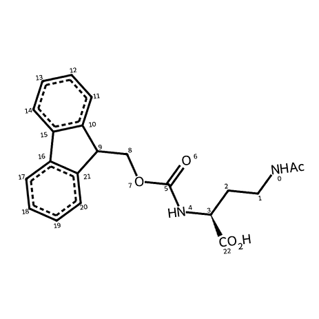 CC(=O)NCC[C@H](NC(=O)OCC1c2ccccc2-c2ccccc21)C(=O)O